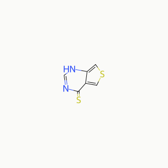 S=c1nc[nH]c2cscc12